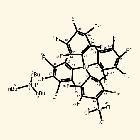 CCCC[NH+](CCCC)CCCC.Fc1c(F)c(F)c([B-](c2c(F)c(F)c(F)c(F)c2F)(c2c(F)c(F)c(F)c(F)c2F)c2c(F)c(F)c([Si](Cl)(Cl)Cl)c(F)c2F)c(F)c1F